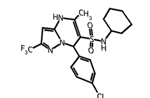 CC1=C(S(=O)(=O)NC2CCCCC2)C(c2ccc(Cl)cc2)n2nc(C(F)(F)F)cc2N1